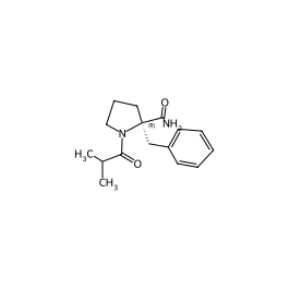 CC(C)C(=O)N1CCC[C@@]1(Cc1ccccc1)C(N)=O